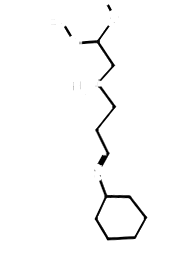 CCOC(C[SiH2]CCC=NC1CCCCC1)OCC